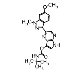 COc1ccc2c(-c3cnc4[nH]cc(OC(=O)NC(C)(C)C)c4n3)nn(C)c2c1